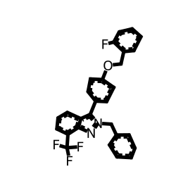 Fc1ccccc1COc1ccc(-c2c3cccc(C(F)(F)F)c3nn2Cc2ccccc2)cc1